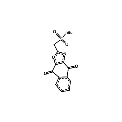 CCCCS(=O)(=O)Cc1nc2c(o1)C(=O)c1ccccc1C2=O